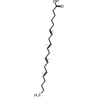 CCCC/C=C/C/C=C/C/C=C/C/C=C/CCCCC(=O)O